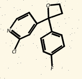 Fc1ccc(C2(c3ccnc(Cl)c3)CCO2)cc1